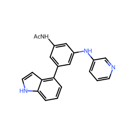 CC(=O)Nc1cc(Nc2cccnc2)cc(-c2cccc3[nH]ccc23)c1